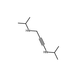 CC(C)NC#CCNC(C)C